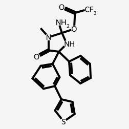 CN1C(=O)C(c2ccccc2)(c2cccc(-c3ccsc3)c2)NC1(N)OC(=O)C(F)(F)F